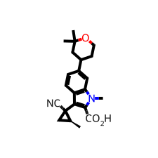 C[C@H]1CC1(C#N)c1c(C(=O)O)n(C)c2cc(C3CCOC(C)(C)C3)ccc12